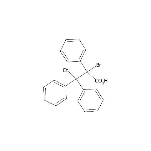 CCC(c1ccccc1)(c1ccccc1)C(Br)(C(=O)O)c1ccccc1